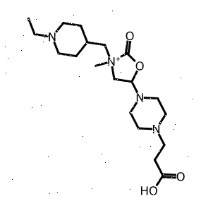 CCN1CCC(C[N+]2(C)CC(N3CCN(CCC(=O)O)CC3)OC2=O)CC1